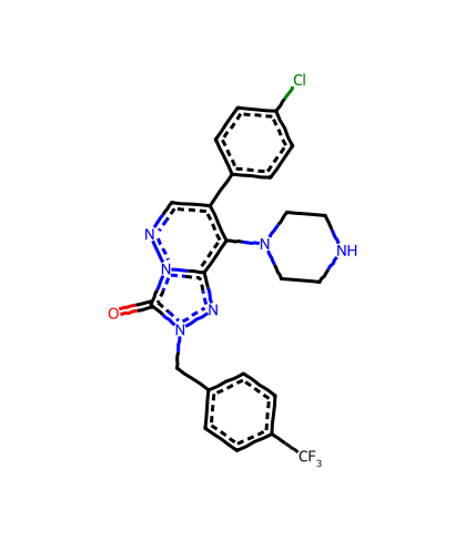 O=c1n(Cc2ccc(C(F)(F)F)cc2)nc2c(N3CCNCC3)c(-c3ccc(Cl)cc3)cnn12